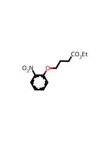 CCOC(=O)CCCOc1ccccc1[N+](=O)[O-]